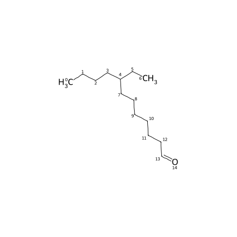 CCCCC(CC)CCCCCCC=O